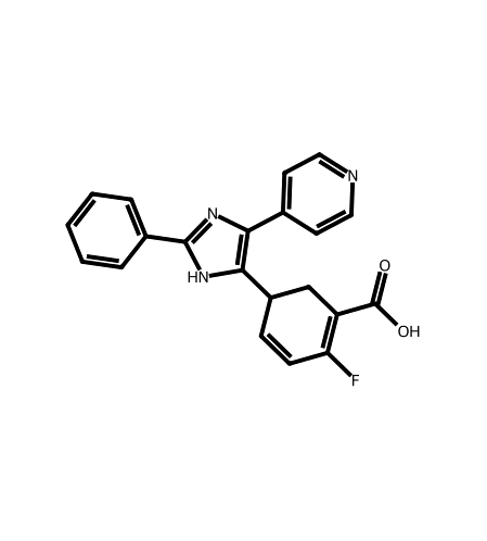 O=C(O)C1=C(F)C=CC(c2[nH]c(-c3ccccc3)nc2-c2ccncc2)C1